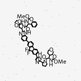 COC(=O)N[C@H](C(=O)N1CCCC1c1ncc(-c2ccc3c(c2)C(F)(F)c2cc(-c4ccc5nc(C6CC7(CN6C(=O)[C@H](NC(=O)OC)c6ccccc6)OCCO7)[nH]c5c4)ccc2-3)[nH]1)C1CCOCC1